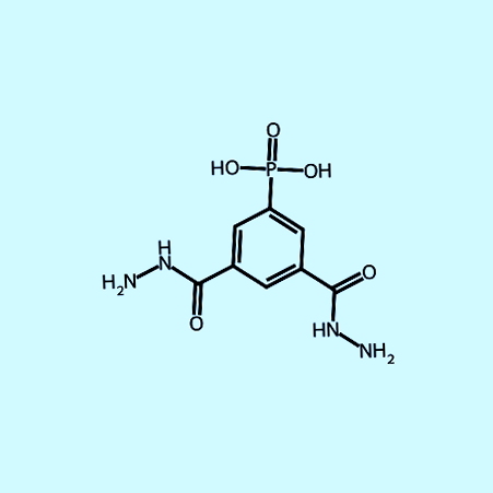 NNC(=O)c1cc(C(=O)NN)cc(P(=O)(O)O)c1